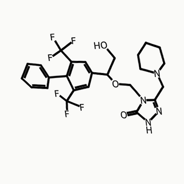 O=c1[nH]nc(CN2CCCCC2)n1COC(CO)c1cc(C(F)(F)F)c(-c2ccccc2)c(C(F)(F)F)c1